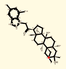 COC[C@]12CC[C@@](C)(O)C[C@@H]1CC[C@H]1[C@@H]3CC[C@H](C(=O)Cn4nnc5cc(C)cc(F)c54)[C@@]3(C)CC[C@@H]12